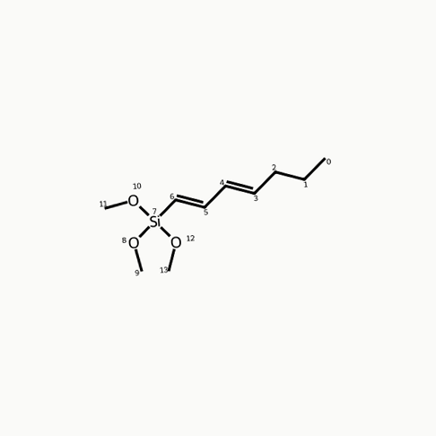 CCC/C=C/C=C/[Si](OC)(OC)OC